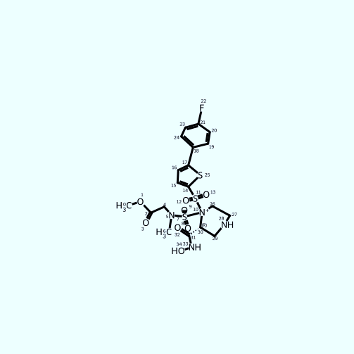 COC(=O)CN(C)S(=O)(=O)[N+]1(S(=O)(=O)c2ccc(-c3ccc(F)cc3)s2)CCNC[C@@H]1C(=O)NO